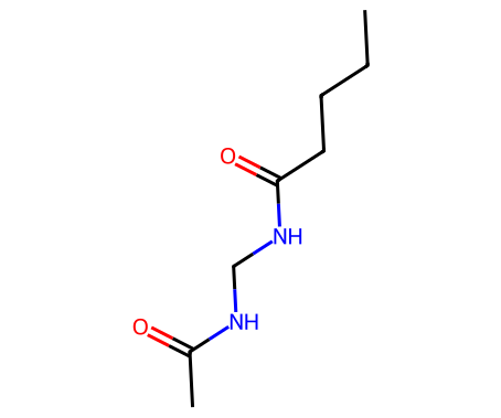 CCCCC(=O)NCNC(C)=O